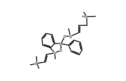 C[SiH](C)CC=C[Si](C)(C)O[Si](O[Si](C)(C)C=C[Si](C)(C)C)(c1ccccc1)c1ccccc1